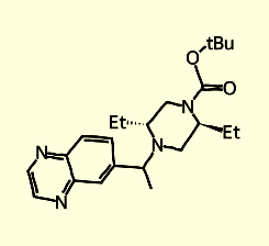 CC[C@H]1CN(C(C)c2ccc3nccnc3c2)[C@H](CC)CN1C(=O)OC(C)(C)C